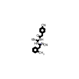 Cc1ccccc1C/C(=N\C#N)NC(NC(=O)Cc1ccc(C#N)cc1)C(C)(C)C